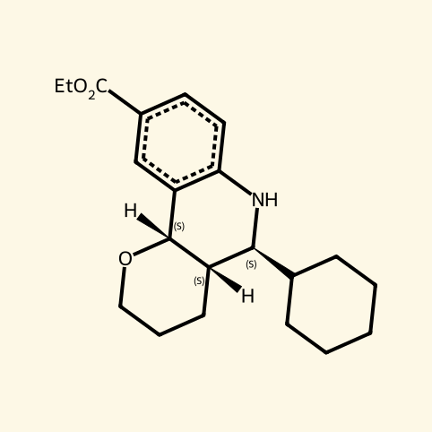 CCOC(=O)c1ccc2c(c1)[C@H]1OCCC[C@H]1[C@H](C1CCCCC1)N2